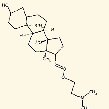 CN(C)CCON=CC1CC[C@@]2(O)[C@@H]3CCC4CC(O)CC[C@]4(C)[C@@H]3CC[C@]12C